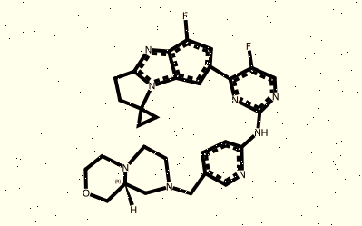 Fc1cnc(Nc2ccc(CN3CCN4CCOC[C@H]4C3)cn2)nc1-c1cc(F)c2nc3n(c2c1)C1(CC3)CC1